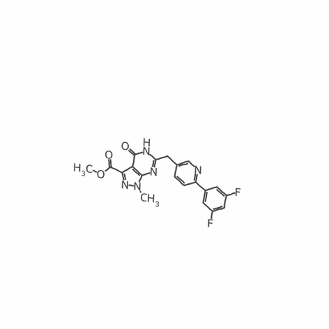 COC(=O)c1nn(C)c2nc(Cc3ccc(-c4cc(F)cc(F)c4)nc3)[nH]c(=O)c12